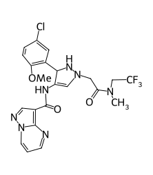 COc1ccc(Cl)cc1C1NN(CC(=O)N(C)CC(F)(F)F)C=C1NC(=O)c1cnn2cccnc12